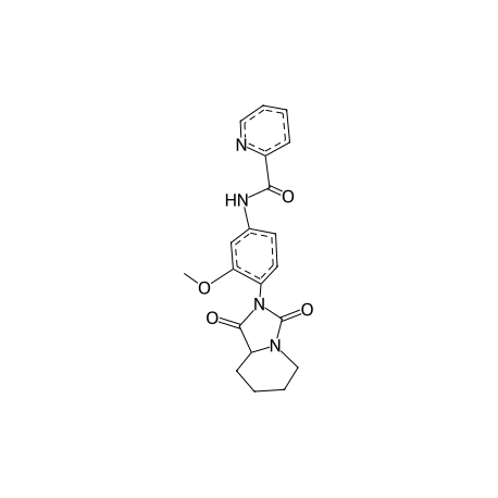 COc1cc(NC(=O)c2ccccn2)ccc1N1C(=O)C2CCCCN2C1=O